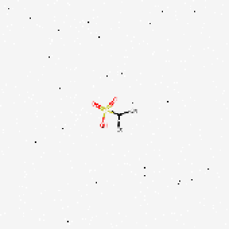 CCC(C#N)S(=O)(=O)O